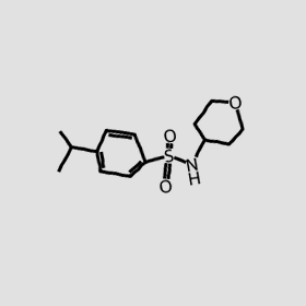 CC(C)c1ccc(S(=O)(=O)NC2CCOCC2)cc1